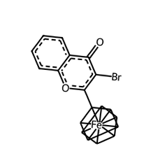 O=c1c(Br)c([C]23[CH]4[CH]5[CH]6[CH]2[Fe]56432789[CH]3[CH]2[CH]7[CH]8[CH]39)oc2ccccc12